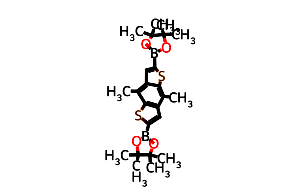 Cc1c2cc(B3OC(C)(C)C(C)(C)O3)sc2c(C)c2cc(B3OC(C)(C)C(C)(C)O3)sc12